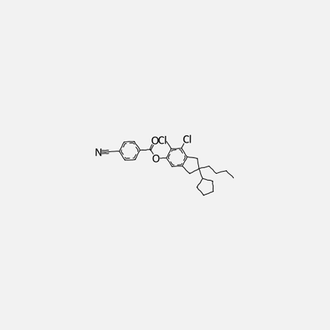 CCCCC1(C2CCCC2)Cc2cc(OC(=O)c3ccc(C#N)cc3)c(Cl)c(Cl)c2C1